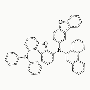 c1ccc(N(c2ccccc2)c2cccc3oc4c(N(c5ccc6oc7ccccc7c6c5)c5cc6ccccc6c6ccccc56)cccc4c23)cc1